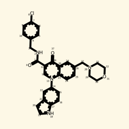 O=C(NCc1ccc(Cl)cc1)c1cn(-c2ccc3[nH]ccc3c2)c2ccc(CN3CCOCC3)cc2c1=O